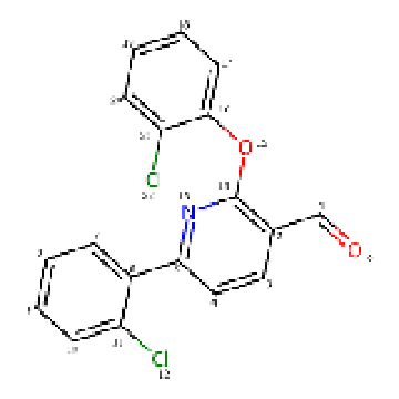 O=Cc1ccc(-c2ccccc2Cl)nc1Oc1ccccc1Cl